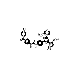 C[C@@H]1COCCN1c1nc(-c2ccc(NC(=O)Nc3ccc(C(=O)N4CCN(C)CC4)cc3)cc2)nc(N2[C@H](CO)CC[C@@H]2CO)n1